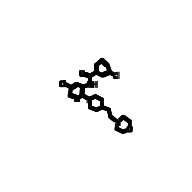 O=C(Nc1cc(Cl)cnc1N1CCC(CCN2CCOCC2)CC1)c1cccc(Cl)c1